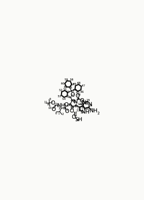 CC(C)C(NC(=O)OC(C)(C)C)C(=O)O[C@H]1[C@@H](OCOS)[C@H](c2c[nH]c3c(N)ncnc23)N(C(=O)OC(C)(C)C)[C@@H]1COC(c1ccccc1)(c1ccccc1)c1ccccc1